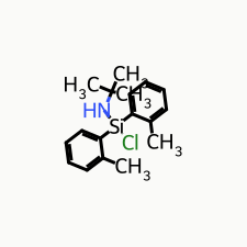 Cc1ccccc1[Si](Cl)(NC(C)(C)C)c1ccccc1C